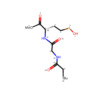 COC(=O)[C@H](CCSO)NC(=O)CNC(=O)CC(C)(C)C